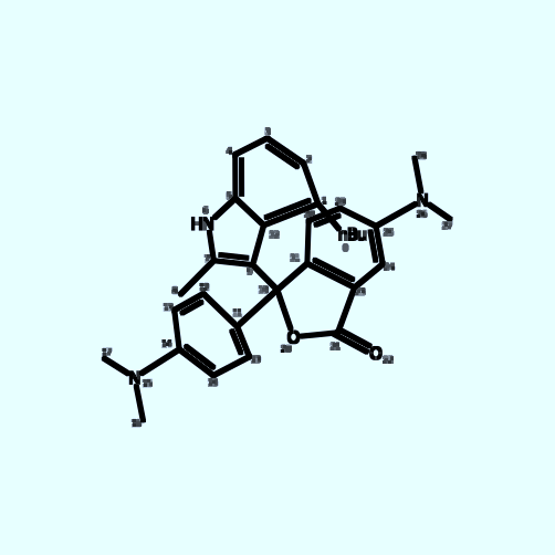 CCCCc1cccc2[nH]c(C)c(C3(c4ccc(N(C)C)cc4)OC(=O)c4cc(N(C)C)ccc43)c12